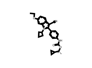 CCOc1ccc2c(C#N)c(-c3ccc(NC(=O)O[C@H](C)C4CC4)cc3)n(C3CCC3)c2c1